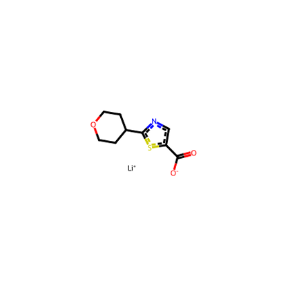 O=C([O-])c1cnc(C2CCOCC2)s1.[Li+]